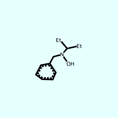 CCC(CC)N(O)Cc1ccccc1